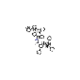 C/C=C(\C=C(/CC)c1cc(C2=CC=CCC2)cc(C2=NC(C3=CCCC=C3)=NC(c3ccccc3)N2)c1)N1c2ccccc2-c2c3c(n(-c4cccc(C5=NC(C)CC=C5)n4)c2-c2ccccc21)CCC=C3